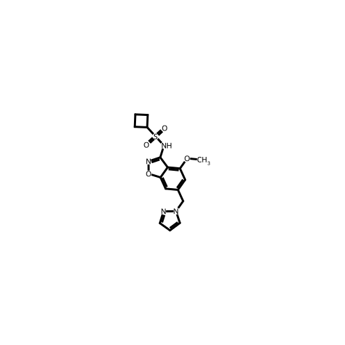 COc1cc(Cn2cccn2)cc2onc(NS(=O)(=O)C3CCC3)c12